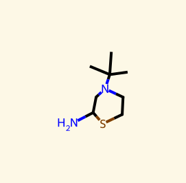 CC(C)(C)N1CCSC(N)C1